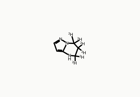 [2H]C1([2H])Nc2ccnn2C([2H])([2H])C1([2H])[2H]